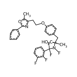 Cc1oc(-c2ccccc2)nc1CCOc1ccc(C[C@@](C)(C(=O)O)N(F)C(F)(F)c2cccc(F)c2F)cc1